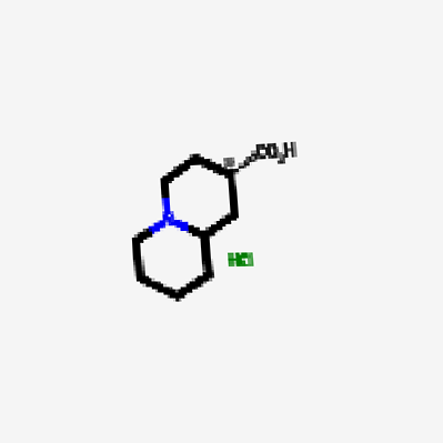 Cl.O=C(O)[C@H]1CCN2CCCCC2C1